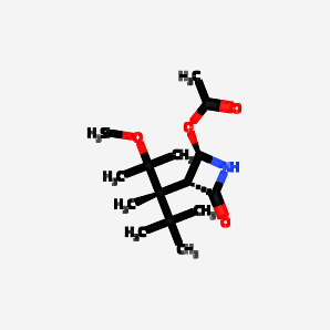 CC(=O)O[C@H]1NC(=O)[C@@H]1[C@](C)(C(C)(C)C)C(C)(C)O[SiH3]